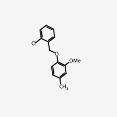 COc1cc(C)ccc1OCc1ccccc1Cl